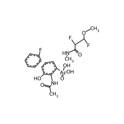 CC(=O)Nc1c(O)cccc1[As](=O)(O)O.CNC(=O)C(F)C(F)OC.Fc1ccccc1